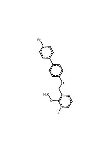 COc1c(COc2ccc(-c3ccc(Br)cc3)cc2)ccc[n+]1[O-]